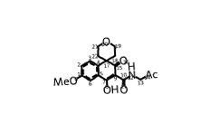 COc1ccc2c(c1)C(O)=C(C(=O)NCC(C)=O)C(=O)C21CCOCC1